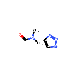 CN(C)C=O.c1c[nH]nn1